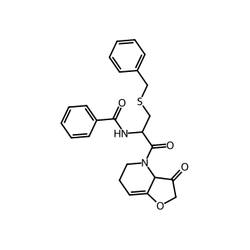 O=C(NC(CSCc1ccccc1)C(=O)N1CCC=C2OCC(=O)C21)c1ccccc1